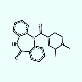 CC1C=C(C(=O)N2c3ccccc3NC(=O)c3ccccc32)CCN1C